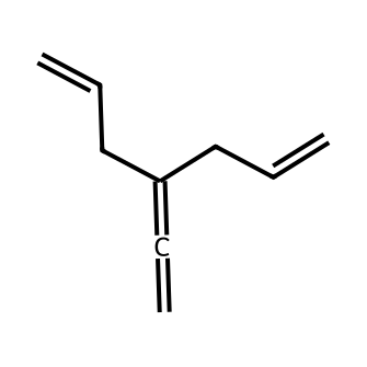 C=C=C(CC=C)CC=C